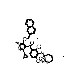 COc1ccc(C(=O)c2c(C3CC3)nn(C)c2OCc2ccc3ccccc3c2)c(Cl)c1N=S1(=O)CCCCC1